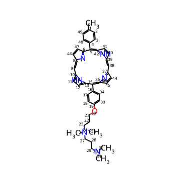 Cc1ccc(-c2c3nc(cc4ccc([nH]4)c(-c4ccc(OCCC[N+](C)(C)CCCN(C)C)cc4)c4nc(cc5ccc2[nH]5)C=C4)C=C3)cc1